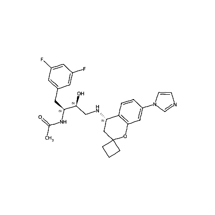 CC(=O)N[C@@H](Cc1cc(F)cc(F)c1)[C@@H](O)CN[C@H]1CC2(CCC2)Oc2cc(-n3ccnc3)ccc21